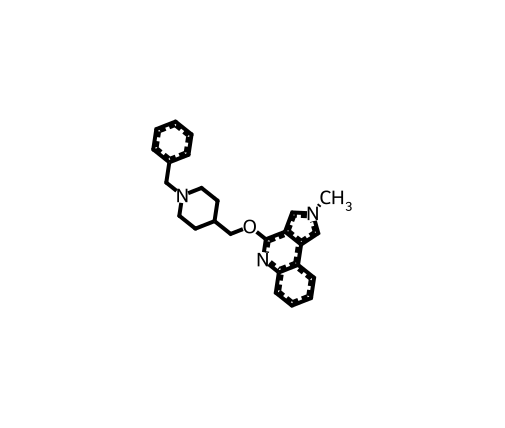 Cn1cc2c(OCC3CCN(Cc4ccccc4)CC3)nc3ccccc3c2c1